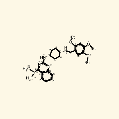 CCOc1cc(OCC)c(OCC)cc1CN[C@H]1CC[C@@H](Nc2nc(N(C)C)c3ccccc3n2)CC1